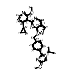 COc1cn(C(C)C)c(-c2ccc(Cn3ncc4cnc(-c5c(OC)ncnc5C5CC5)nc43)cc2)n1